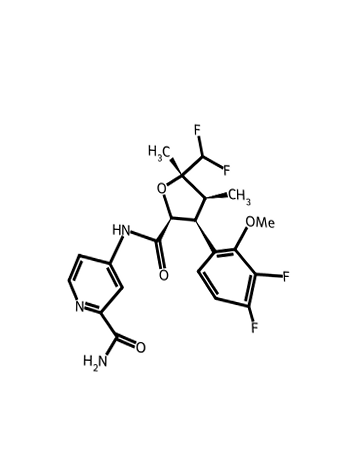 COc1c([C@H]2[C@@H](C(=O)Nc3ccnc(C(N)=O)c3)O[C@](C)(C(F)F)[C@H]2C)ccc(F)c1F